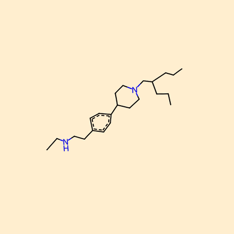 CCCC(CCC)CN1CCC(c2ccc(CCNCC)cc2)CC1